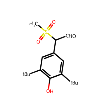 CC(C)(C)c1cc(C(C=O)S(C)(=O)=O)cc(C(C)(C)C)c1O